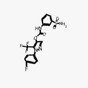 NS(=O)(=O)c1cccc(NC(=O)Oc2cnn(-c3ccc(F)cc3)c2C(F)(F)F)c1